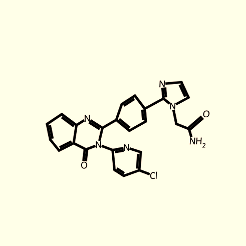 NC(=O)Cn1ccnc1-c1ccc(-c2nc3ccccc3c(=O)n2-c2ccc(Cl)cn2)cc1